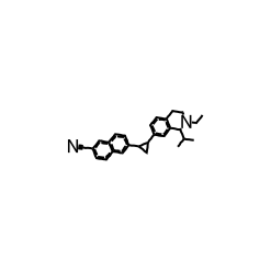 CCN1CCc2ccc(C3CC3c3ccc4cc(C#N)ccc4c3)cc2C1C(C)C